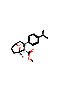 COC(=O)[C@@H]1[C@@H]2CCC(C[C@H]1c1ccc(C(C)C)cc1)O2